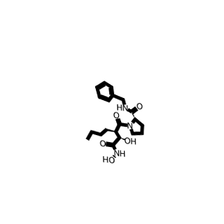 CCCC[C@@H](C(=O)N1CCC[C@H]1C(=O)NCc1ccccc1)[C@H](O)C(=O)NO